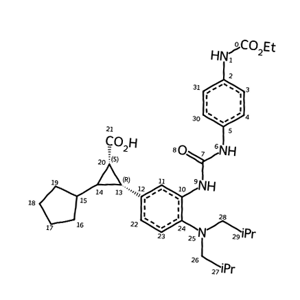 CCOC(=O)Nc1ccc(NC(=O)Nc2cc([C@@H]3C(C4CCCC4)[C@@H]3C(=O)O)ccc2N(CC(C)C)CC(C)C)cc1